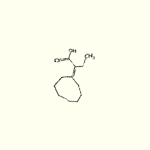 CCC(C(=O)O)=C1CCCCCCC1